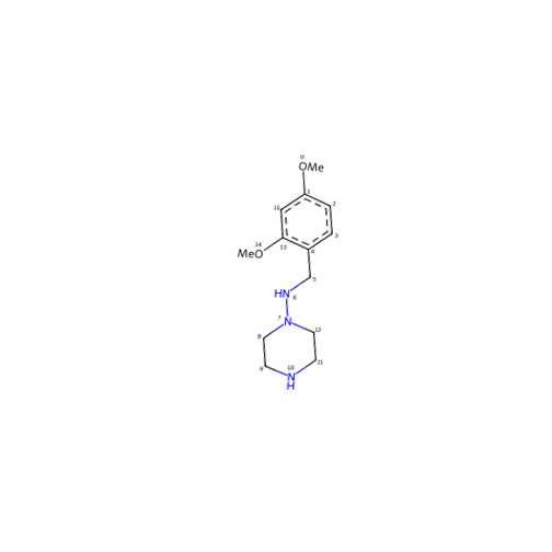 COc1ccc(CNN2CCNCC2)c(OC)c1